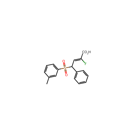 Cc1cccc(S(=O)(=O)C(/C=C(\F)C(=O)O)c2ccccc2)c1